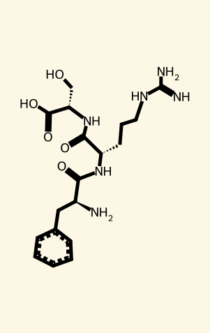 N=C(N)NCCC[C@H](NC(=O)[C@@H](N)Cc1ccccc1)C(=O)N[C@@H](CO)C(=O)O